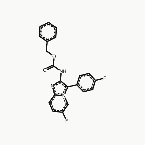 O=C(Nc1nc2ccc(F)cn2c1-c1ccc(F)cc1)OCc1ccccc1